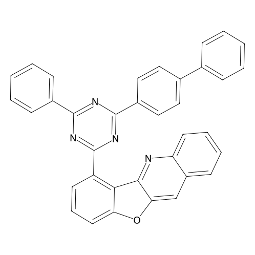 c1ccc(-c2ccc(-c3nc(-c4ccccc4)nc(-c4cccc5oc6cc7ccccc7nc6c45)n3)cc2)cc1